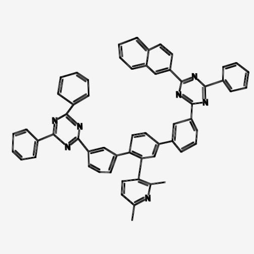 Cc1ccc(-c2cc(-c3cccc(-c4nc(-c5ccccc5)nc(-c5ccc6ccccc6c5)n4)c3)ccc2-c2cccc(-c3nc(-c4ccccc4)nc(-c4ccccc4)n3)c2)c(C)n1